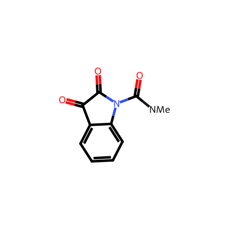 CNC(=O)N1C(=O)C(=O)c2ccccc21